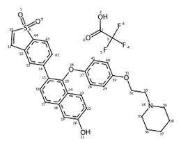 O=C(O)C(F)(F)F.O=S1(=O)C=Cc2cc(-c3ccc4cc(O)ccc4c3Oc3ccc(OCCN4CCCCC4)cc3)ccc21